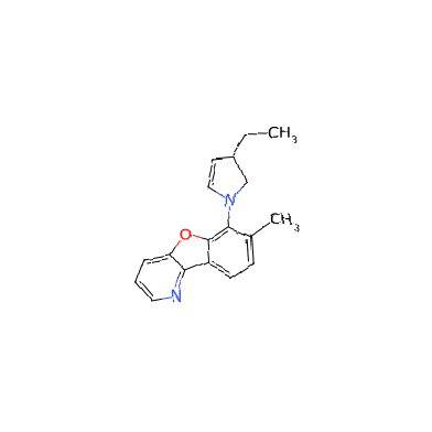 CCC1C=CN(c2c(C)ccc3c2oc2cccnc23)C1